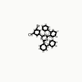 Clc1cc(Br)cc(-c2nc(-c3ccccc3-c3ccccc3)nc(-c3ccccc3-c3ccccc3)n2)c1